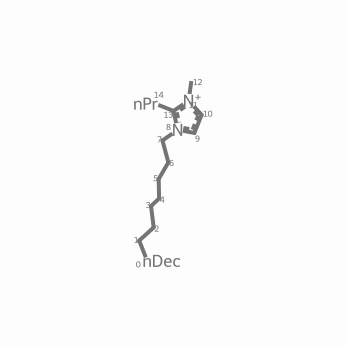 CCCCCCCCCCCCCCCCCn1cc[n+](C)c1CCC